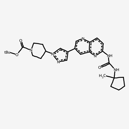 CC1(NC(=O)Nc2ccc3ncc(-c4cnn(C5CCN(C(=O)OC(C)(C)C)CC5)c4)cc3n2)CCCC1